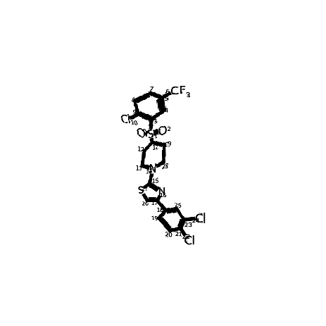 O=S(=O)(c1cc(C(F)(F)F)ccc1Cl)C1CCN(c2nc(-c3ccc(Cl)c(Cl)c3)cs2)CC1